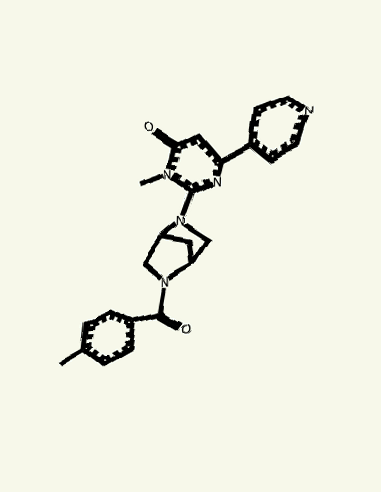 Cc1ccc(C(=O)N2CC3CC2CN3c2nc(-c3ccncc3)cc(=O)n2C)cc1